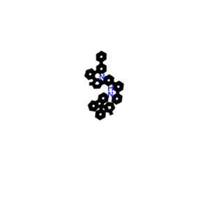 CC1C=C(C2(c3ccccc3)c3ccccc3-c3ccc(Nc4ccccc4-c4cccc(-c5ccc6c(c5)c5c7n6-c6ccc(-c8ccccc8)cc6-c6ccccc6C7C(C)C=C5)c4)cc32)C=CC1